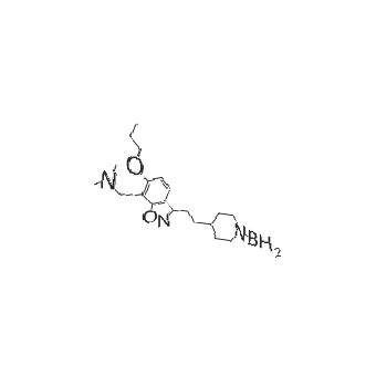 BN1CCC(CCc2noc3c(CN(C)C)c(OCCC)ccc23)CC1